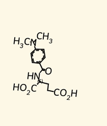 CN(C)c1ccc(C(=O)N[C@@H](CCC(=O)O)C(=O)O)cc1